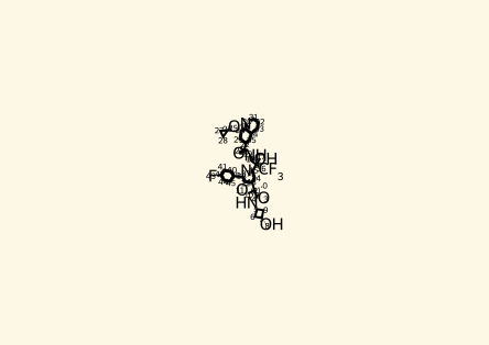 C[C@]1(C(=O)N[C@H]2C[C@@H](O)C2)COc2c1cc(C(O)(CNC(=O)c1cc(OC3CC3)c3ncccc3c1)C(F)(F)F)nc2-c1ccc(F)cc1